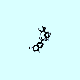 C[C@H]1CNCc2cc(C(=O)Nc3cncc(C4(C(F)F)CC4)c3)ccc21